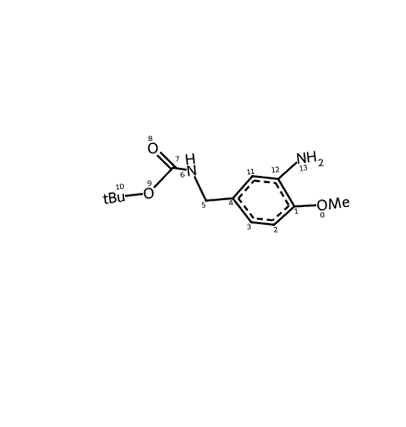 COc1ccc(CNC(=O)OC(C)(C)C)cc1N